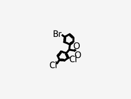 O=C1Oc2ccc(Br)cc2C1c1ccc(Cl)cc1Cl